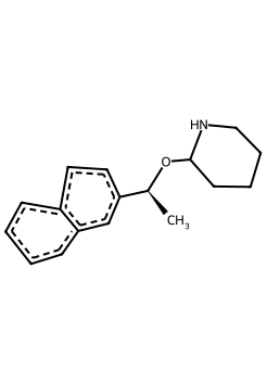 C[C@H](OC1CCCCN1)c1ccc2ccccc2c1